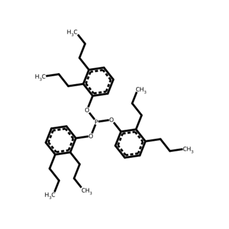 CCCc1cccc(OP(Oc2cccc(CCC)c2CCC)Oc2cccc(CCC)c2CCC)c1CCC